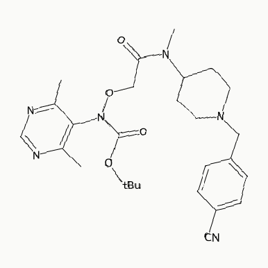 Cc1ncnc(C)c1N(OCC(=O)N(C)C1CCN(Cc2ccc(C#N)cc2)CC1)C(=O)OC(C)(C)C